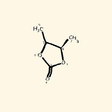 CC1OC(=O)O[C@@H]1C